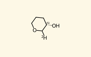 [2H]C1OCCC[C@@H]1O